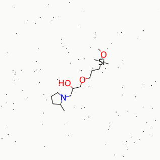 CO[Si](C)(C)CCCOCC(O)CN1CCCC1C